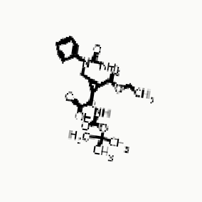 CCOC(=O)C1C(CN(C(N)=O)c2ccccc2)C1[C@H](NC(=O)OC(C)(C)C)C(=O)O